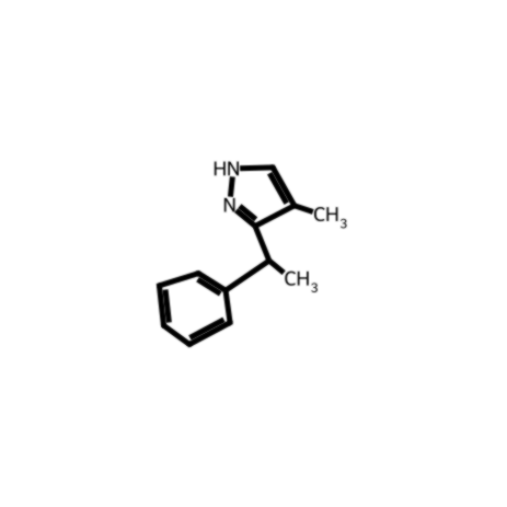 Cc1c[nH]nc1C(C)c1ccccc1